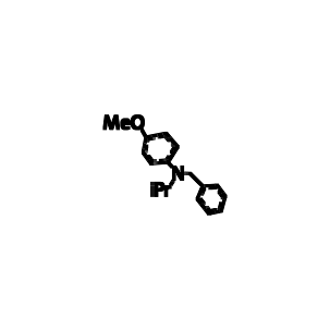 COc1ccc(N(Cc2ccccc2)C(C)C)cc1